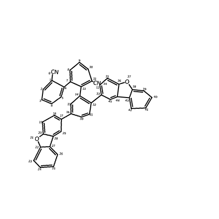 N#Cc1ccccc1-c1cccc(C#N)c1-c1cc(-c2ccc3oc4ccccc4c3c2)ccc1-c1ccc2oc3ccccc3c2c1